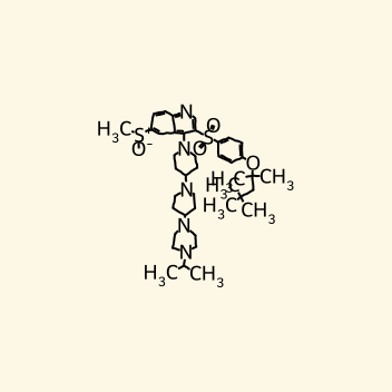 CC(C)N1CCN(C2CCN(C3CCN(c4c(S(=O)(=O)c5ccc(OC(C)(C)CC(C)(C)C)cc5)cnc5ccc([S+](C)[O-])cc45)CC3)CC2)CC1